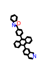 c1ccc2oc(-c3ccc(-c4c5ccccc5c(-c5ccc6ccncc6c5)c5ccccc45)cc3)nc2c1